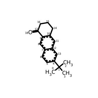 CC(C)(C)c1ccc2cc3c(cc2c1)CCCC3=O